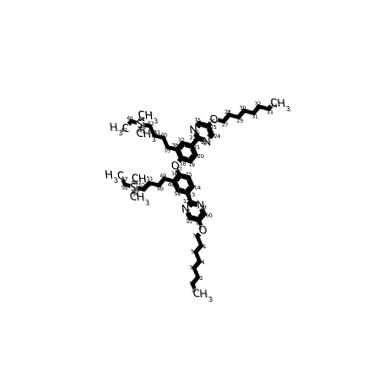 CCCCCCCCOc1cnc(-c2ccc(Oc3ccc(-c4ncc(OCCCCCCCC)cn4)cc3CCCC[Si](C)(C)CC)c(CCCC[Si](C)(C)CC)c2)nc1